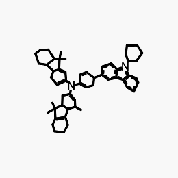 CC1C=C(N(C2=CCC(c3ccc4c(c3)c3ccccc3n4C3CCCCC3)C=C2)C2=CCC3C(=C2)C(C)(C)C2CCCCC32)CC2C1C1=C(CCCC1)C2(C)C